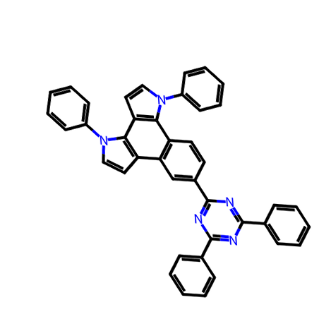 c1ccc(-c2nc(-c3ccccc3)nc(-c3ccc4c(c3)c3ccn(-c5ccccc5)c3c3ccn(-c5ccccc5)c43)n2)cc1